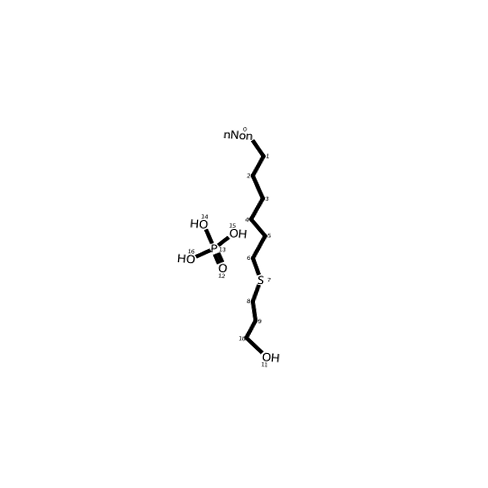 CCCCCCCCCCCCCCCSCCCO.O=P(O)(O)O